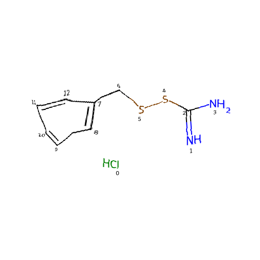 Cl.N=C(N)SSCc1ccccc1